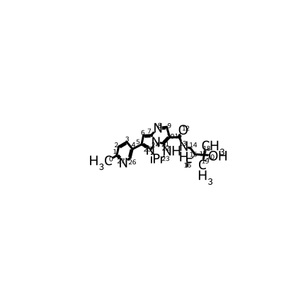 Cc1ccc(-c2cc3ncc(C(=O)NC[C@@H](F)C(C)(C)O)c(NC(C)C)n3n2)cn1